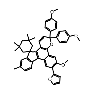 COc1ccc(C2(c3ccc(OC)cc3)C=Cc3c4c(c5cc(-c6ccco6)c(OC)cc5c3O2)-c2ccc(C)cc2C42CC(C)(C)CC(C)(C)C2)cc1